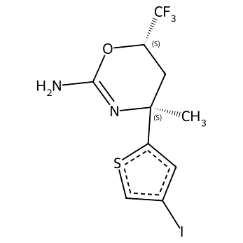 C[C@@]1(c2cc(I)cs2)C[C@@H](C(F)(F)F)OC(N)=N1